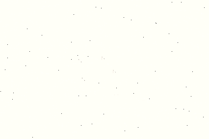 OCC1OC(n2cnc3c(NCc4ccccc4)nccc32)C(O)C1O